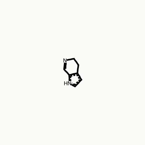 C1=NCCc2cc[nH]c21